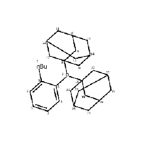 CCCCc1ccccc1P(C12CC3CC(CC(C3)C1)C2)C12CC3CC(CC(C3)C1)C2